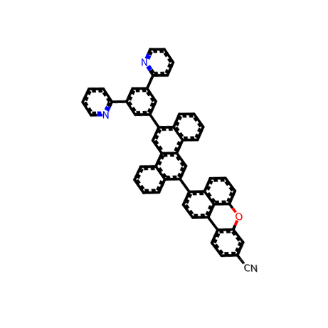 N#Cc1ccc2c(c1)Oc1cccc3c(-c4cc5c6ccccc6c(-c6cc(-c7ccccn7)cc(-c7ccccn7)c6)cc5c5ccccc45)ccc-2c13